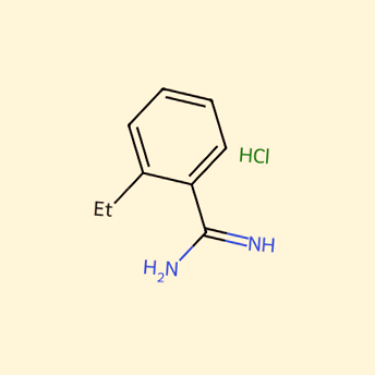 CCc1ccccc1C(=N)N.Cl